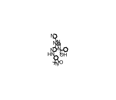 CN1C(=O)c2ccc(Nc3cc(N[C@H](CO)c4ccccc4)c(-c4nc(-c5cccnc5)no4)cn3)cc2C1(C)C